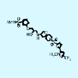 CNS(=O)(=O)c1cccc(OCC(O)CNC2COC3(CCN(S(=O)(=O)c4ccc(-c5cc(C(F)(F)F)nn5C)s4)CC3)C2)c1